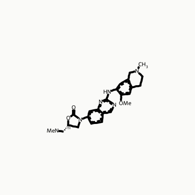 CNC[C@H]1CN(c2ccc3cnc(Nc4cc5c(cc4OC)CCN(C)C5)nc3c2)C(=O)O1